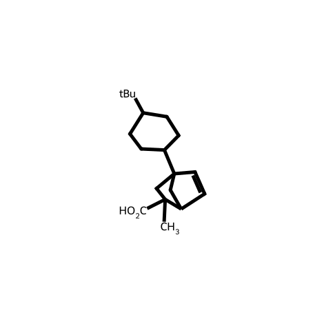 CC(C)(C)C1CCC(C23C=CC(C2)C(C)(C(=O)O)C3)CC1